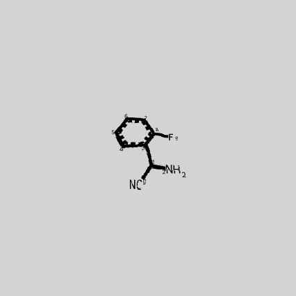 N#CC(N)c1ccccc1F